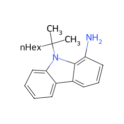 CCCCCCC(C)(C)n1c2ccccc2c2cccc(N)c21